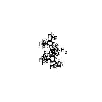 NN(S(=O)(=O)c1cc(C(F)(F)F)cc(C(F)(F)F)c1)S(=O)(=O)c1cc(C(F)(C(F)(F)F)C(F)(F)F)cc(C(F)(C(F)(F)F)C(F)(F)F)c1